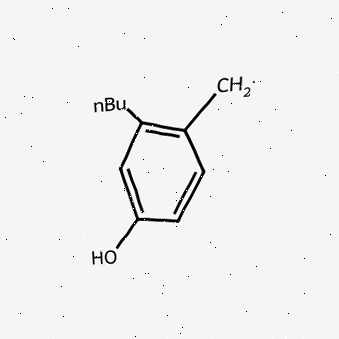 [CH2]c1ccc(O)cc1CCCC